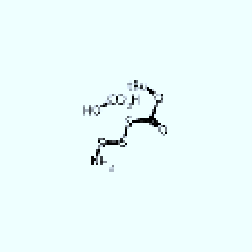 CC(C)(C)OC(=O)SSSN.O=C(O)O